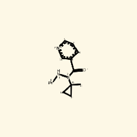 CC(C)NN(C(=O)c1cccnc1)C1(C)CC1